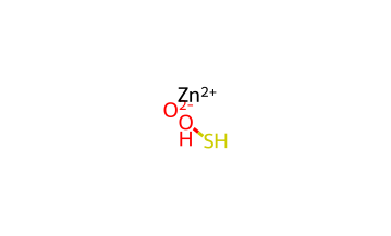 OS.[O-2].[Zn+2]